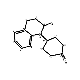 CC1CCc2ccccc2N1C1CCC(=O)CC1